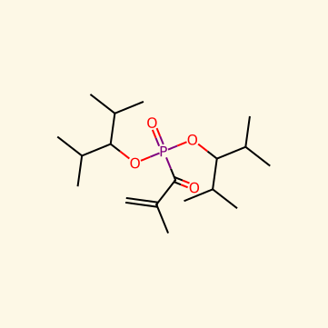 C=C(C)C(=O)P(=O)(OC(C(C)C)C(C)C)OC(C(C)C)C(C)C